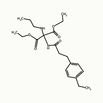 CCCNC(NC(=O)CCc1ccc(CC)cc1)(C(=O)OCC)C(=O)OCC